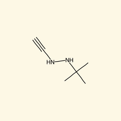 C#CNNC(C)(C)C